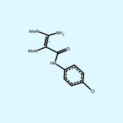 CN/C(N)=C(\NC)C(=O)Nc1ccc(Cl)cc1